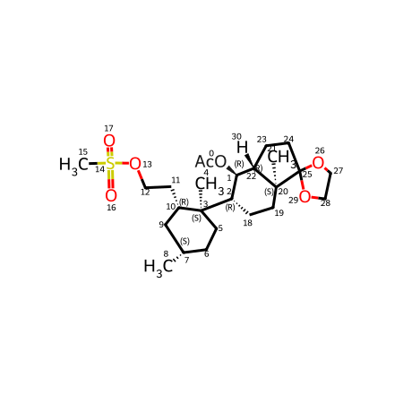 CC(=O)O[C@@H]1[C@@H]([C@@]2(C)CC[C@H](C)C[C@@H]2CCOS(C)(=O)=O)CC[C@@]2(C)[C@H]1CCC21OCCO1